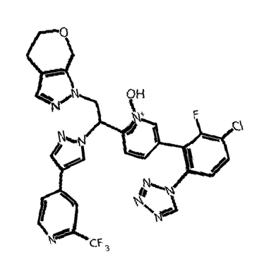 O[n+]1cc(-c2c(-n3cnnn3)ccc(Cl)c2F)ccc1C(Cn1ncc2c1COCC2)n1cc(-c2ccnc(C(F)(F)F)c2)cn1